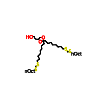 CCCCCCCCSCSCCCCCCCCC1(CCCCCCCCSCSCCCCCCCC)OCC(CCO)O1